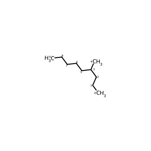 CC[CH]C(C)CCCCC